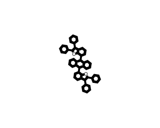 c1ccc(-c2oc3c(-c4c5ccccc5c(-c5cccc6c(-c7ccccc7)c(-c7ccccc7)oc56)c5ccccc45)cccc3c2-c2ccccc2)cc1